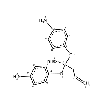 C=CC[Si](CCCCCC)(Oc1ccc(N)cc1)Oc1ccc(N)cc1